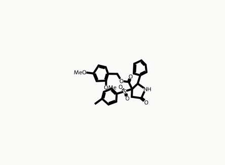 COc1ccc(COC(=O)C2(S(=O)(=O)c3ccc(C)cc3)CC(=O)NC2c2ccccc2)c(OC)c1